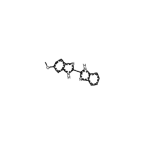 COc1ccc2nc(-c3nc4ccccc4[nH]3)[nH]c2c1